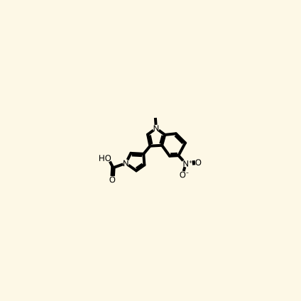 Cn1cc(-c2ccn(C(=O)O)c2)c2cc([N+](=O)[O-])ccc21